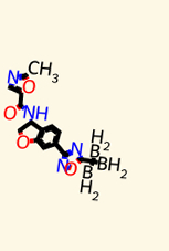 BC(B)(B)c1nc(-c2ccc3c(c2)OC[C@H]3NC(=O)c2cnc(C)o2)no1